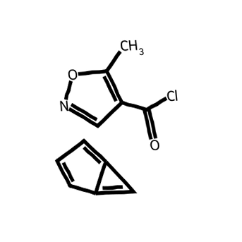 Cc1oncc1C(=O)Cl.c1cc2cc-2c1